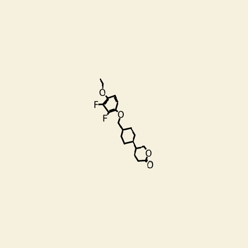 CCOc1ccc(OCC2CCC(C3CCC(=O)OC3)CC2)c(F)c1F